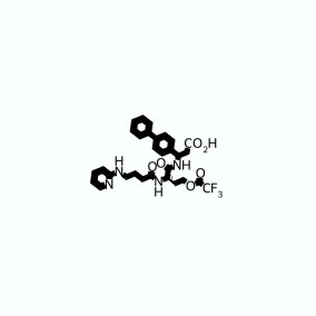 O=C(O)CC(NC(=O)[C@@H](CCOC(=O)C(F)(F)F)NC(=O)CCCNc1ccccn1)c1ccc(-c2ccccc2)cc1